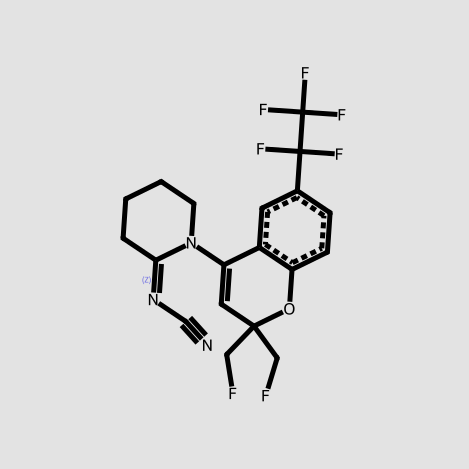 N#C/N=C1/CCCCN1C1=CC(CF)(CF)Oc2ccc(C(F)(F)C(F)(F)F)cc21